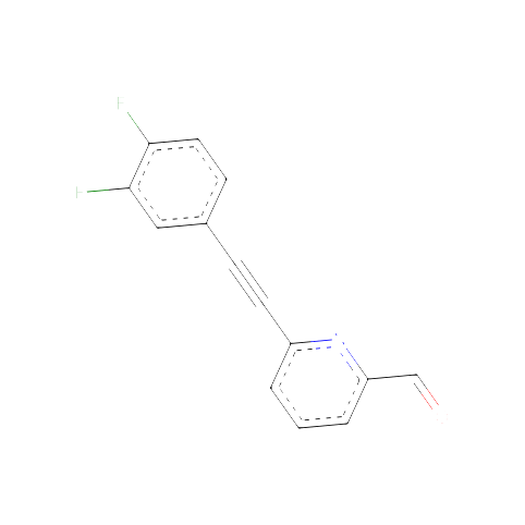 O=Cc1cccc(C#Cc2ccc(F)c(F)c2)n1